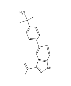 C=C(C)c1n[nH]c2ccc(-c3ccc(C(C)(C)N)cc3)cc12